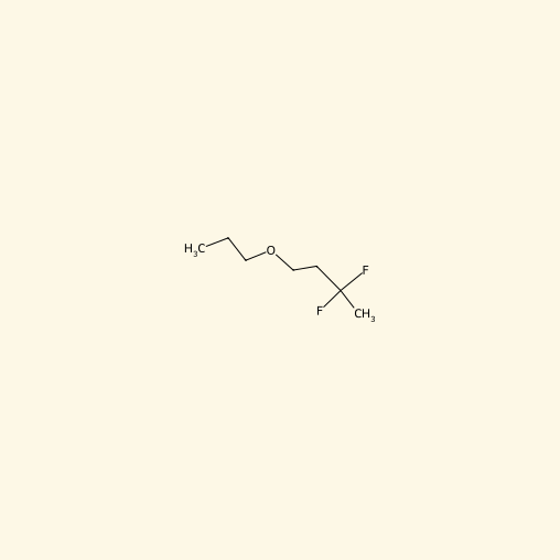 CCCOCCC(C)(F)F